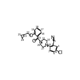 N#Cc1cc(Cl)ccc1N1CCN(C(=O)c2ccccc2OCC2CC2)CC1